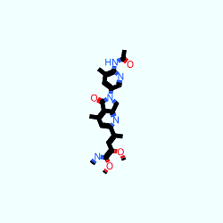 C=N/C(OC)=C(\C=C(/C)c1cc(C)c2c(n1)CN(c1cnc(NC(C)=O)c(C)c1)C2=O)OC